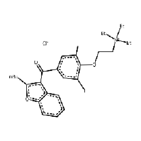 CCCCc1oc2ccccc2c1C(=O)c1cc(I)c(OCC[N+](CC)(CC)CC)c(I)c1.[Cl-]